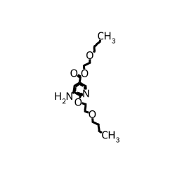 CCCCOCCOC(=O)c1cnc(OCCOCCCC)c(N)c1